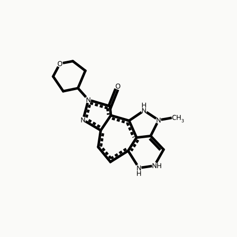 CN1Nc2c3c(ccc4nn(C5CCOCC5)c(=O)c2-4)NNC=C31